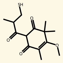 COC1=C(C)C(=O)C(C(=O)C(C)CS)C(=O)C1(C)C